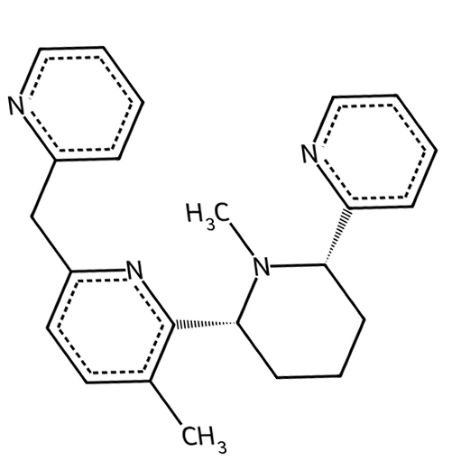 Cc1ccc(Cc2ccccn2)nc1[C@H]1CCC[C@@H](c2ccccn2)N1C